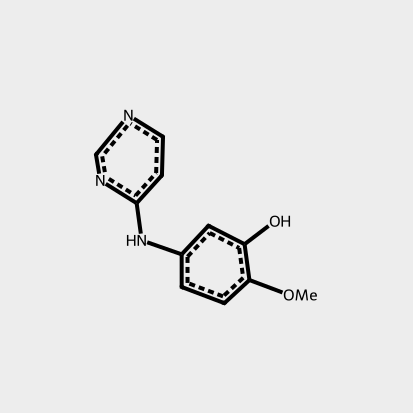 COc1ccc(Nc2ccncn2)cc1O